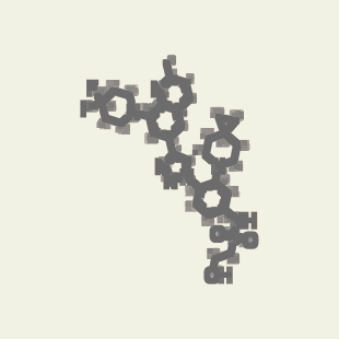 Cc1ccc2cc(-c3cn(-c4ccc(NS(=O)(=O)CCO)cc4N4CCC5(CC4)CC5)nn3)cc(N3CCC(F)(F)CC3)c2n1